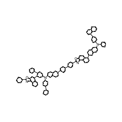 c1ccc(-c2ccc(N(c3ccc(-c4ccccc4)c(-c4cc5oc(-c6ccccc6)nc5c5ccccc45)c3)c3ccc4cc(-c5ccc(-c6ccc(-c7nc8c(ccc9c(-c%10ccc%11cc(N(c%12ccccc%12)c%12ccc(-c%13cccc%14ccccc%13%14)cc%12)ccc%11c%10)cccc98)o7)cc6)cc5)ccc4c3)cc2)cc1